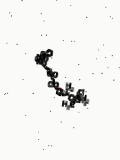 C=C[C@]1(C)CC[C@@H](C(=C)CN2CCC(COC(=O)CCC(=O)OCC#CCOc3nonc3S(=O)(=O)c3ccccc3)CC2)C[C@H]1C(=C)CCl